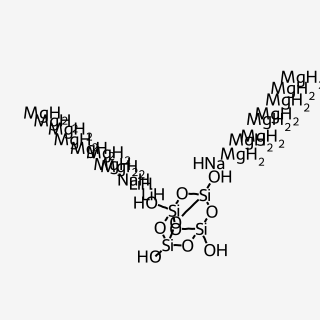 O[Si]12O[Si]3(O)O[Si](O)(O1)O[Si](O)(O2)O3.[LiH].[LiH].[MgH2].[MgH2].[MgH2].[MgH2].[MgH2].[MgH2].[MgH2].[MgH2].[MgH2].[MgH2].[MgH2].[MgH2].[MgH2].[MgH2].[MgH2].[MgH2].[NaH].[NaH]